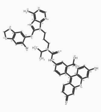 CC(C)N(CCCn1c(Sc2cc3c(cc2Br)OCO3)nc2c(N)ncnc21)C(=S)Nc1ccc(-c2c3ccc(=O)cc-3oc3cc(O)ccc23)c(C(=O)O)c1